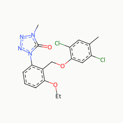 CCOc1cccc(-n2nnn(C)c2=O)c1COc1cc(Cl)c(C)cc1Cl